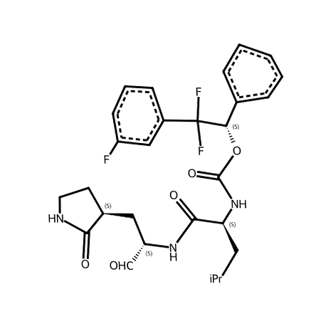 CC(C)C[C@H](NC(=O)O[C@@H](c1ccccc1)C(F)(F)c1cccc(F)c1)C(=O)N[C@H](C=O)C[C@@H]1CCNC1=O